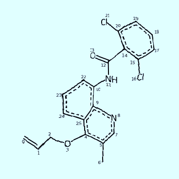 C=CCOc1c(C)cnc2c(NC(=O)c3c(Cl)cccc3Cl)cccc12